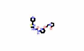 O=C(Nc1cccc(OCCN2CCCC2=O)n1)Nc1csc(-c2ccncc2)n1